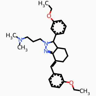 CCOc1cccc(C=C2CCCC3C2=NN(CCCN(C)C)C3c2cccc(OCC)c2)c1